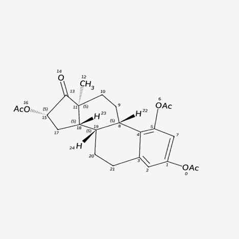 CC(=O)Oc1cc2c(c(OC(C)=O)c1)[C@H]1CC[C@]3(C)C(=O)[C@@H](OC(C)=O)C[C@H]3[C@H]1CC2